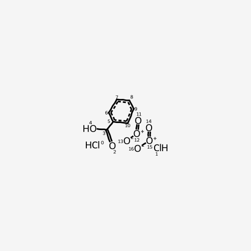 Cl.Cl.O=C(O)c1ccccc1.O=[O+][O-].O=[O+][O-]